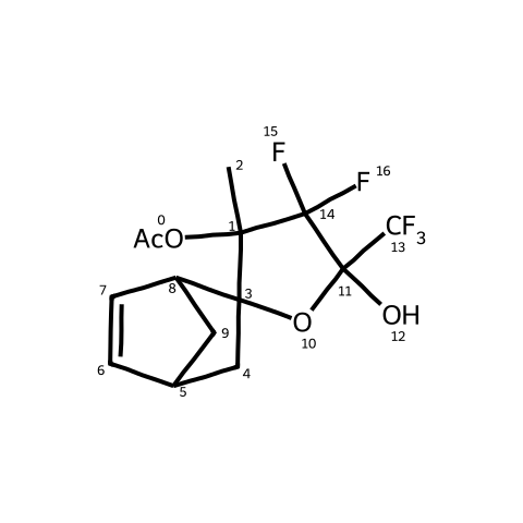 CC(=O)OC1(C)C2(CC3C=CC2C3)OC(O)(C(F)(F)F)C1(F)F